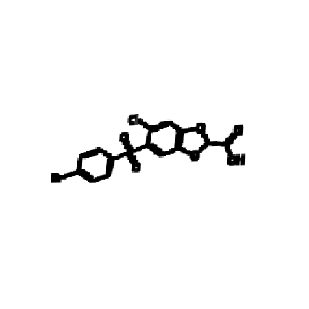 O=C(O)C1Oc2cc(Cl)c(S(=O)(=O)c3ccc(Br)cc3)cc2O1